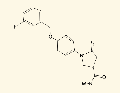 CNC(=O)C1CC(=O)N(c2ccc(OCc3cccc(F)c3)cc2)C1